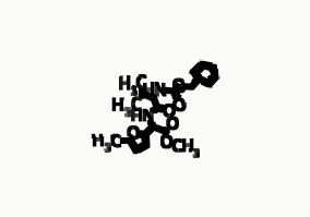 COC(=O)C(NC(=O)[C@@H](NC(=O)OCc1ccccc1)C(C)C)c1ccc(C)o1